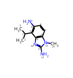 CC(C)c1c(N)ccc2c1nc(N)n2C